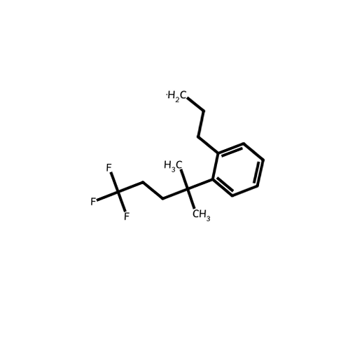 [CH2]CCc1ccccc1C(C)(C)CCC(F)(F)F